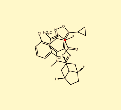 Cn1c(N2[C@@H]3CC[C@H]2C[C@H](OC(=O)c2c(-c4c(Cl)cccc4Cl)noc2C2CC2)C3)nc2c(F)cc(C(=O)O)cc21